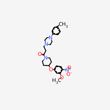 COc1cc(OC2CCN(C(=O)CCN3CCN(c4ccc(C)cc4)CC3)CC2)ccc1[N+](=O)[O-]